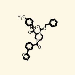 Cc1ccc(NC(=O)C2CN(C(=O)c3cccc(-c4ccco4)c3)CCN2C(=O)OCc2ccccc2)cc1